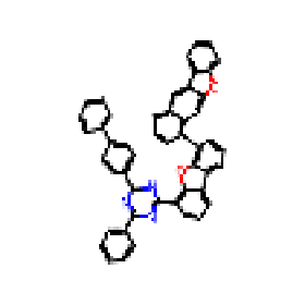 c1ccc(-c2ccc(-c3nc(-c4ccccc4)nc(-c4cccc5c4oc4c(-c6cccc7cc8c(cc67)oc6ccccc68)cccc45)n3)cc2)cc1